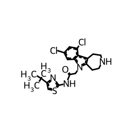 CC(C)(C)c1csc(NC(=O)Cn2c3c(c4c(Cl)cc(Cl)cc42)CCNCC3)n1